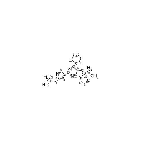 CC(C)Cn1cc(-c2nc(N3CCOCC3)c3nc4n(c3n2)CCOC4(C)C)cn1